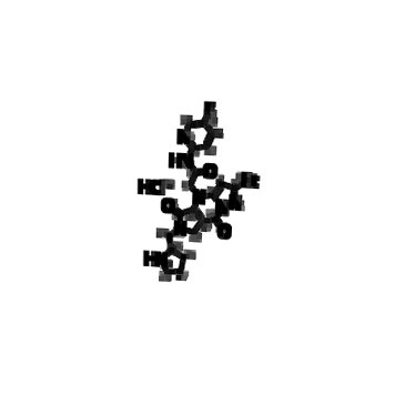 CCc1cc2n(CC(=O)Nc3ccc(F)cn3)c3c(c(=O)n2n1)CN(C[C@H]1CCCN1)C3=O.Cl